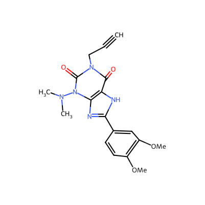 C#CCn1c(=O)c2[nH]c(-c3ccc(OC)c(OC)c3)nc2n(N(C)C)c1=O